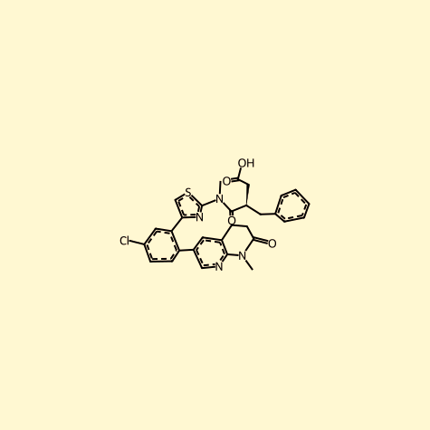 CN(C(=O)[C@@H](CC(=O)O)Cc1ccccc1)c1nc(-c2cc(Cl)ccc2-c2cnc3c(c2)CCC(=O)N3C)cs1